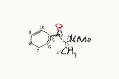 CNC(C)C(=O)C1=CCCC=C1